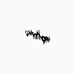 C[C@H]1CN(c2cnc3nc(-c4cc(F)c5nn(C)cc5c4)cc(Cl)c3c2)C[C@@H](C2CC2)N1